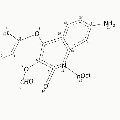 CC=C(CC)Oc1c(OC=O)c(=O)n(CCCCCCCC)c2cc(N)ccc12